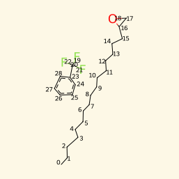 CCCCCCCCCCCCCCCCC1CO1.FC(F)(F)c1ccccc1